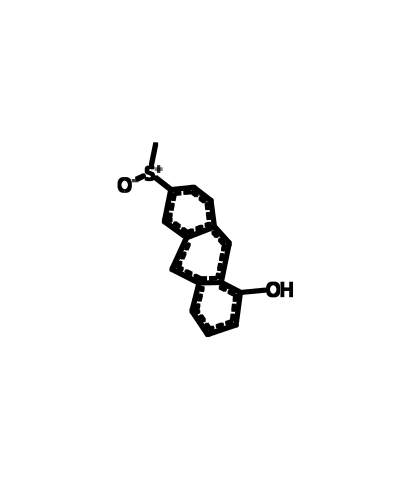 C[S+]([O-])c1ccc2cc3c(O)cccc3cc2c1